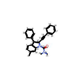 Cc1ccc2c(-c3ccccc3)c(C#Cc3ccccc3)n(C(=O)N(C)C)c2c1